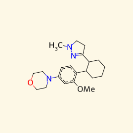 COc1cc(N2CCOCC2)ccc1C1CCCCC1C1=NN(C)CC1